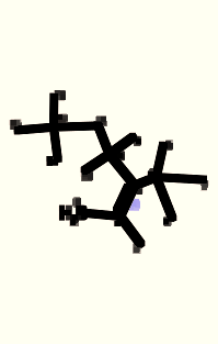 B/C(C)=C(/C(C)(C)C)C(C)(C)CC(C)(C)C